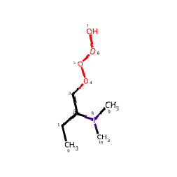 CCC(COOOO)I(C)C